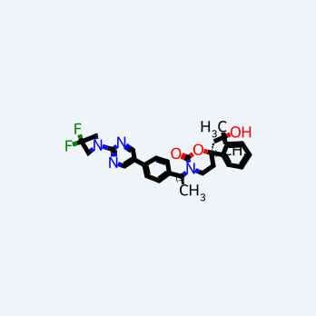 C[C@@H](c1ccc(-c2cnc(N3CC(F)(F)C3)nc2)cc1)N1CC[C@](CC(C)(C)O)(c2ccccc2)OC1=O